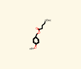 CCCCCCCCCCCCCC(=O)OCc1ccc(OCCC)cc1